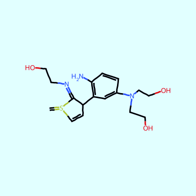 C=S1C=CC(c2cc(N(CCO)CCO)ccc2N)C1=NCCO